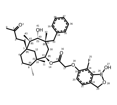 CC(=O)CC[C@]12CC[C@@H](C)[C@](C)(C1)[C@H](OC(=O)COc1ccc3c(c1F)B(O)OC3)C[C@@](C)(Cc1ccccc1)[C@@H](O)[C@@H]2C